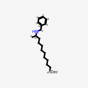 CCCCCCCCCCCCCCCCCCCC(C)NCc1ccccc1